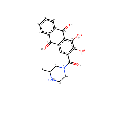 CC1CN(C(=O)c2cc3c(c(O)c2O)C(=O)c2ccccc2C3=O)CCN1